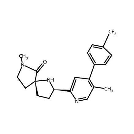 Cc1cnc([C@H]2CC[C@]3(CCN(C)C3=O)N2)cc1-c1ccc(C(F)(F)F)cc1